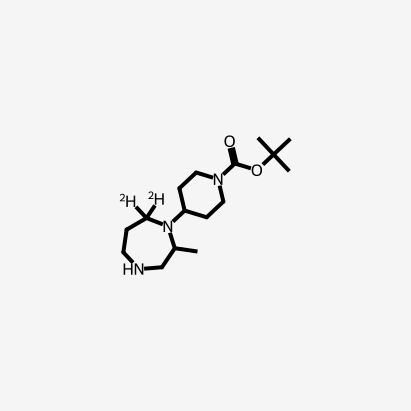 [2H]C1([2H])CCNCC(C)N1C1CCN(C(=O)OC(C)(C)C)CC1